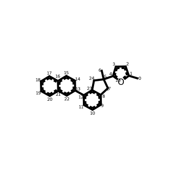 Cc1ccc(C2(C)[CH]c3cccc(-c4ccc5ccccc5c4)c3C2)o1